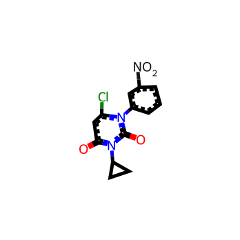 O=c1cc(Cl)n(-c2cccc([N+](=O)[O-])c2)c(=O)n1C1CC1